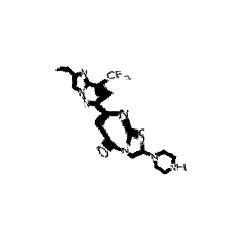 Cc1cn2nc(-c3cc(=O)n4cc(N5CCNCC5)sc4n3)cc(C(F)(F)F)c2n1